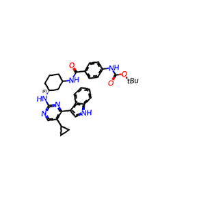 CC(C)(C)OC(=O)Nc1ccc(C(=O)NC2CCC[C@@H](Nc3ncc(C4CC4)c(-c4c[nH]c5ccccc45)n3)C2)cc1